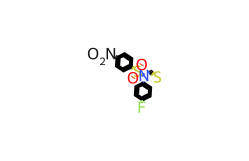 O=[N+]([O-])c1ccc(S(=O)(=O)N(C=S)c2ccc(F)cc2)cc1